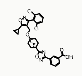 O=C(O)c1cccc(-c2noc(C34CCC(OCc5c(-c6c(Cl)cccc6Cl)noc5C5CC5)(CC3)CC4)n2)c1